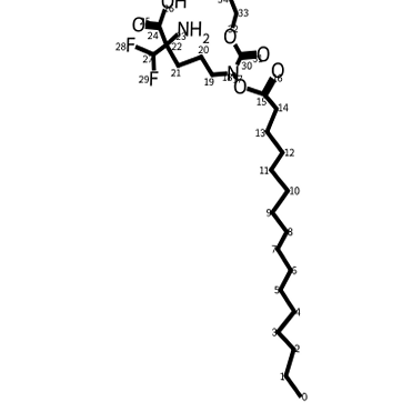 CCCCCCCCCCCCCCCC(=O)ON(CCCC(N)(C(=O)O)C(F)F)C(=O)OCC